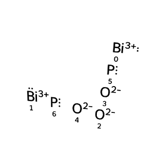 [Bi+3].[Bi+3].[O-2].[O-2].[O-2].[P].[P]